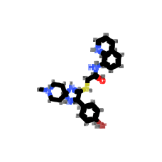 CN1CCC2(CC1)N=C(SCC(=O)Nc1cccc3cccnc13)C(c1ccc(Br)cc1)=N2